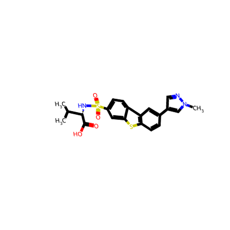 CC(C)[C@H](NS(=O)(=O)c1ccc2c(c1)sc1ccc(-c3cnn(C)c3)cc12)C(=O)O